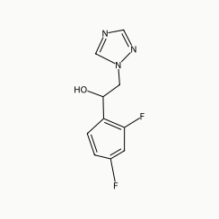 OC(Cn1cncn1)c1ccc(F)cc1F